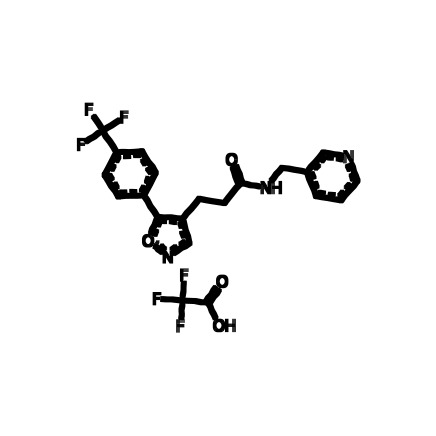 O=C(CCc1cnoc1-c1ccc(C(F)(F)F)cc1)NCc1cccnc1.O=C(O)C(F)(F)F